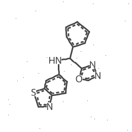 c1ccc(C(Nc2ccc3ncsc3c2)c2nnco2)cc1